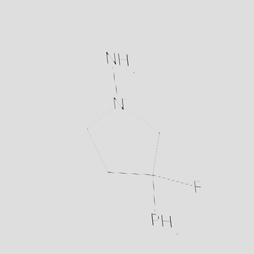 NN1CCC(F)(P)C1